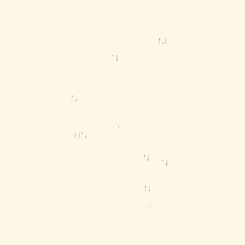 Cn1cnnc1C1=CC=CCC(NC(=O)c2cc(N3CCC(N)C3)ccn2)=C1